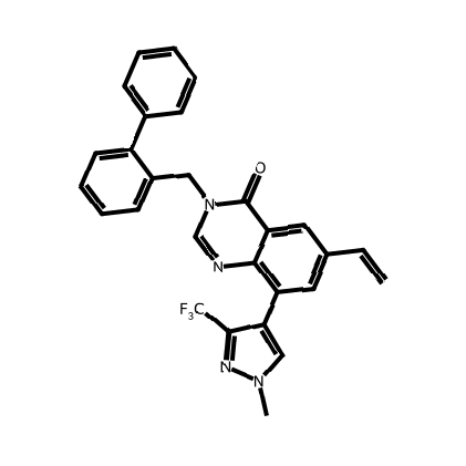 C=Cc1cc(-c2cn(C)nc2C(F)(F)F)c2ncn(Cc3ccccc3-c3ccccc3)c(=O)c2c1